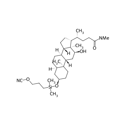 CNC(=O)CC[C@@H](C)[C@H]1CC[C@H]2[C@@H]3CC[C@@H]4C[C@H](O[Si](C)(C)CCCOC#N)CC[C@]4(C)[C@H]3C[C@H](O)[C@]12C